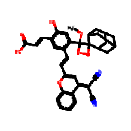 COC1(c2cc(O)c(/C=C/C(=O)O)cc2/C=C/C2=CC(=C(C#N)C#N)c3ccccc3O2)OOC12C1CC3CC(C1)CC2C3